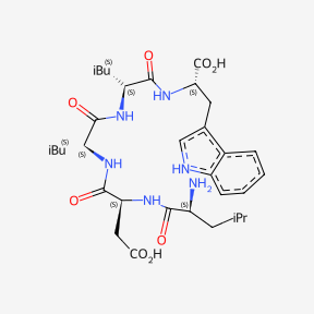 CC[C@H](C)[C@H](NC(=O)[C@H](CC(=O)O)NC(=O)[C@@H](N)CC(C)C)C(=O)N[C@H](C(=O)N[C@@H](Cc1c[nH]c2ccccc12)C(=O)O)[C@@H](C)CC